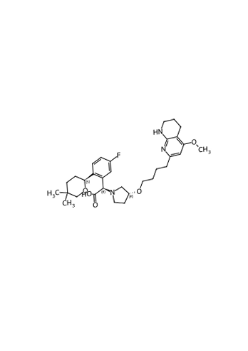 COc1cc(CCCCO[C@@H]2CCN([C@@H](C(=O)O)c3cc(F)ccc3[C@@H]3CCC(C)(C)CO3)C2)nc2c1CCCN2